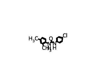 Cc1ccc(NC(=O)Nc2ccc(Cl)cc2)c(C)c1